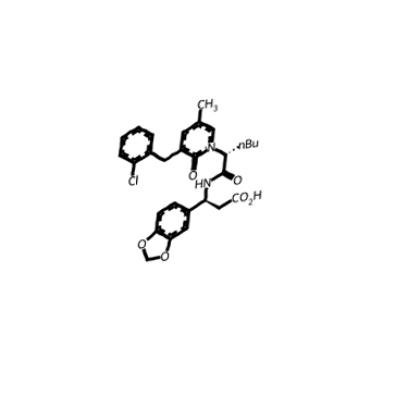 CCCC[C@H](C(=O)N[C@@H](CC(=O)O)c1ccc2c(c1)OCO2)n1cc(C)cc(Cc2ccccc2Cl)c1=O